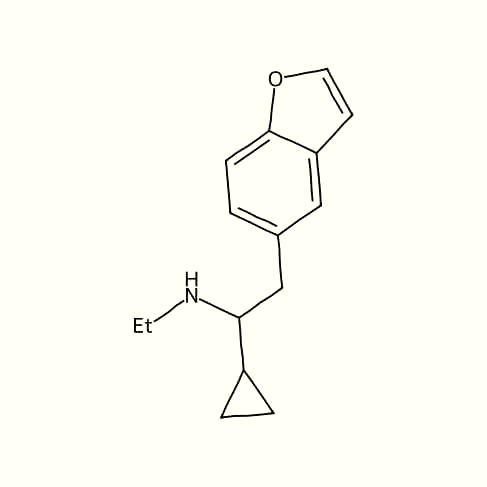 CCNC(Cc1ccc2occc2c1)C1CC1